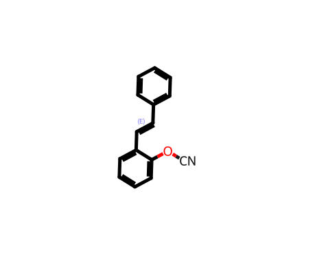 N#COc1ccccc1/C=C/c1ccccc1